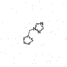 c1csc(Cn2cncn2)c1